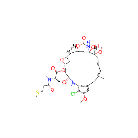 COc1cc2cc(c1Cl)N(C)C(=O)C[C@]1(OC(=O)[C@@H](C)N(C)C(=O)CCSC)C[C@@](C)(O1)[C@H](C)[C@@H]1C[C@](O)(NC(=O)O1)[C@H](OC)/C=C/C=C(/C)C2